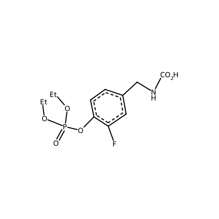 CCOP(=O)(OCC)Oc1ccc(CNC(=O)O)cc1F